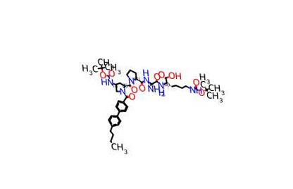 CCCCc1ccc(-c2ccc(C(=O)N3C[C@@H](NC(=O)OC(C)(C)C)C[C@H]3C(=O)N3CCC[C@H]3C(=O)N[C@@H](N)C(=O)N[C@@H](CCCCNC(=O)OC(C)(C)C)C(=O)O)cc2)cc1